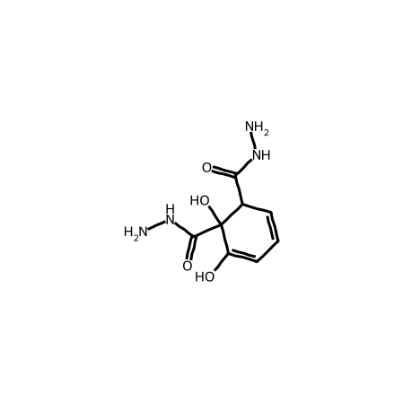 NNC(=O)C1C=CC=C(O)C1(O)C(=O)NN